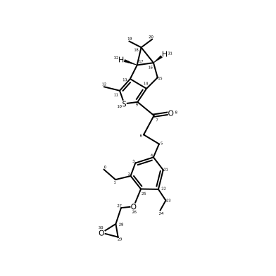 CCc1cc(CCC(=O)c2sc(C)c3c2C[C@@H]2[C@H]3C2(C)C)cc(CC)c1OCC1CO1